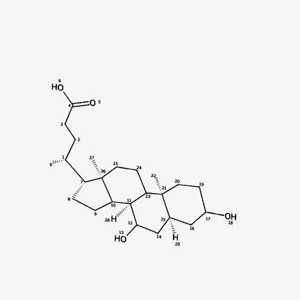 C[C@H](CCC(=O)O)[C@H]1CCC2[C@@H]3C(O)C[C@@H]4CC(O)CC[C@]4(C)C3CC[C@@]21C